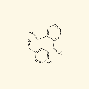 C=Cc1ccccc1.C=Cc1ccccc1C=C.Cl